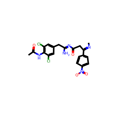 C/N=C(\CC(=O)/N=C(\N)Cc1cc(Cl)c(NC(C)=O)c(Cl)c1)c1ccc([N+](=O)[O-])cc1